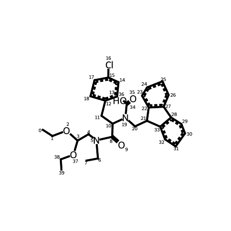 CCOC(CN(CC)C(=O)C(Cc1ccc(Cl)cc1)N(CC1c2ccccc2-c2ccccc21)C(=O)O)OCC